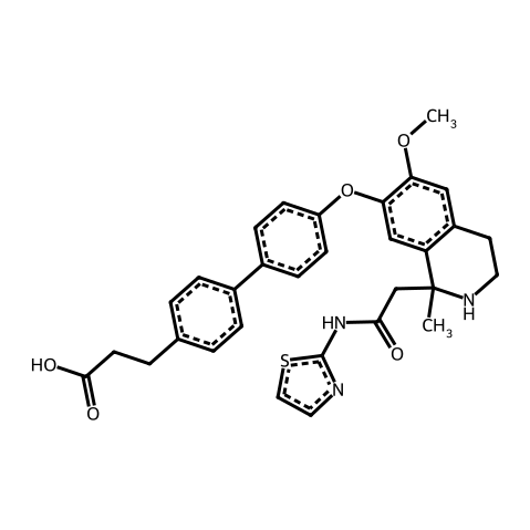 COc1cc2c(cc1Oc1ccc(-c3ccc(CCC(=O)O)cc3)cc1)C(C)(CC(=O)Nc1nccs1)NCC2